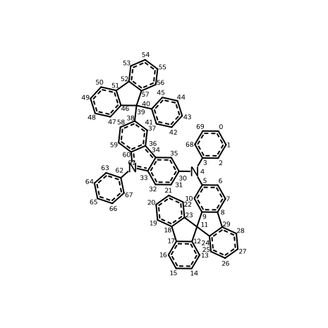 c1ccc(N(c2ccc3c(c2)C2(c4ccccc4-c4ccccc42)c2ccccc2-3)c2ccc3c(c2)c2cc(C4(c5ccccc5)c5ccccc5-c5ccccc54)ccc2n3-c2ccccc2)cc1